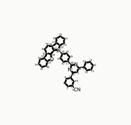 N#Cc1cccc(-c2cc(-c3ccccc3)nc(-c3ccc(-n4c5ccccc5c5ccc6c7ccccc7oc6c54)cc3)n2)c1